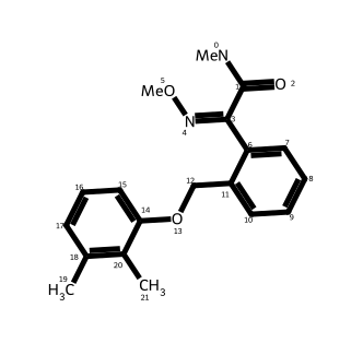 CNC(=O)C(=NOC)c1ccccc1COc1cccc(C)c1C